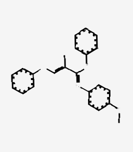 CSc1ccc(N=C(Oc2ccccc2)C(C)=COc2ccccc2)cc1